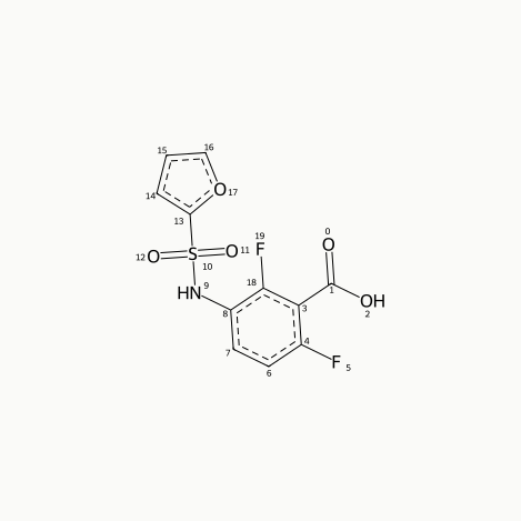 O=C(O)c1c(F)ccc(NS(=O)(=O)c2ccco2)c1F